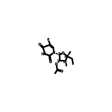 CC[C@@]1(C)O[C@@H](n2cc(F)c(=O)[nH]c2=O)[C@@H](OC(C)=O)[C@@H]1C